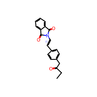 CCC(=O)Cc1ccc(/C=C/N2C(=O)c3ccccc3C2=O)cc1